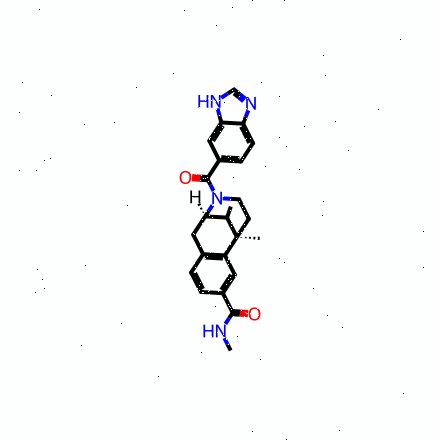 CNC(=O)c1ccc2c(c1)[C@]1(C)CCN(C(=O)c3ccc4nc[nH]c4c3)[C@H](C2)C1C